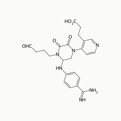 N=C(N)c1ccc(NC2CN(c3ccncc3CCC(=O)O)C(=O)C(=O)N2CCCC=O)cc1